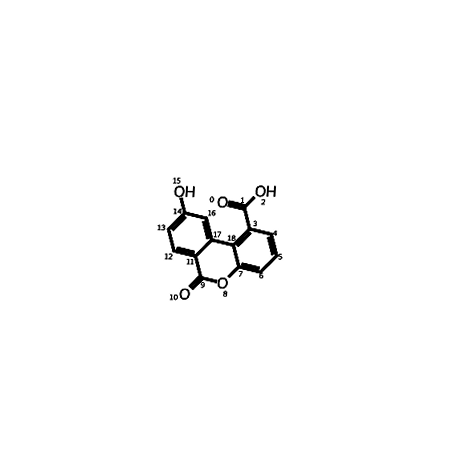 O=C(O)c1cccc2oc(=O)c3ccc(O)cc3c12